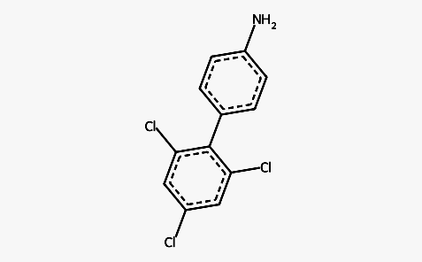 Nc1ccc(-c2c(Cl)cc(Cl)cc2Cl)cc1